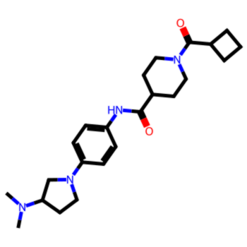 CN(C)C1CCN(c2ccc(NC(=O)C3CCN(C(=O)C4CCC4)CC3)cc2)C1